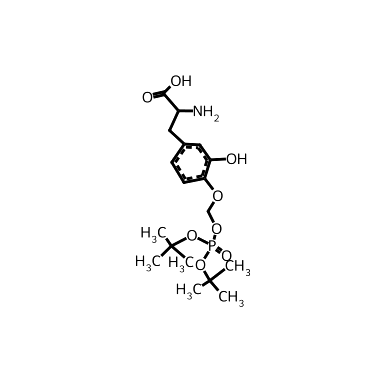 CC(C)(C)OP(=O)(OCOc1ccc(CC(N)C(=O)O)cc1O)OC(C)(C)C